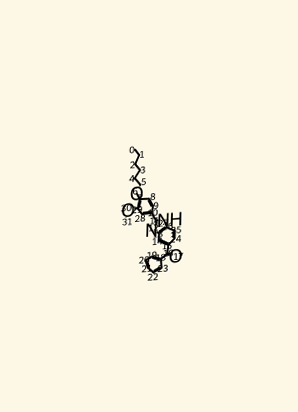 CCCCCCOc1ccc(-c2nc3cc(C(=O)c4ccccc4)ccc3[nH]2)cc1OC